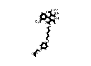 COC(=O)C1=C(C#N)NC(C)=C(C(=O)OCCCCCOc2ccc(OCC3CO3)cc2)C1c1cccc([N+](=O)[O-])c1